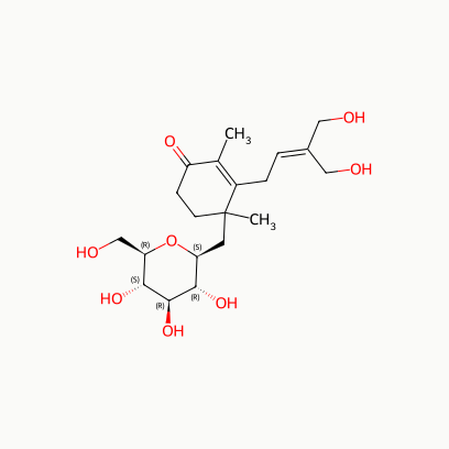 CC1=C(CC=C(CO)CO)C(C)(C[C@@H]2O[C@H](CO)[C@@H](O)[C@H](O)[C@H]2O)CCC1=O